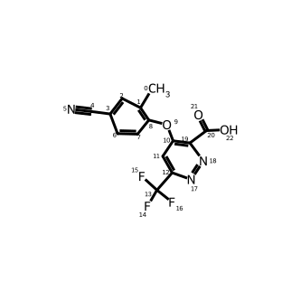 Cc1cc(C#N)ccc1Oc1cc(C(F)(F)F)nnc1C(=O)O